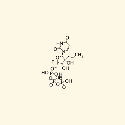 CCC[C@]1(O)[C@H](n2ccc(=O)[nH]c2=O)O[C@](F)(COP(=O)(O)OP(=O)(O)OP(=O)(O)O)[C@H]1O